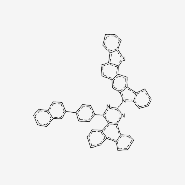 c1ccc2cc(-c3ccc(-c4nc(-n5c6ccccc6c6cc7c(ccc8c9ccccc9sc78)cc65)nc5c6ccccc6c6ccccc6c45)cc3)ccc2c1